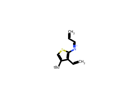 C=C/C=N\c1scc(C(C)(C)C)c1C=C